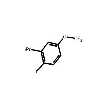 [CH2]C(C)c1cc(OC(F)(F)F)ccc1I